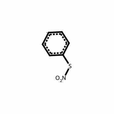 O=[N+]([O-])Sc1cc[c]cc1